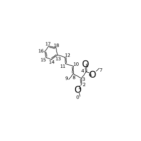 CO\C=C(C(=O)OC)/C(C)=C/C=C/c1ccccc1